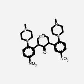 CN1CCN(c2ccc([N+](=O)[O-])cc2C(CCl)C(=O)C(CCl)c2cc([N+](=O)[O-])ccc2N2CCN(C)CC2)CC1